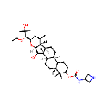 CCO[C@@H]([C@H]1C[C@@H](C)[C@H]2[C@H](O1)[C@H](O)[C@@]1(C)[C@@H]3CC[C@@H]4C(CC[C@H](OC(=O)NC5CNC5)C4(C)C)[C@]3(C)CC[C@]21C)C(C)(C)O